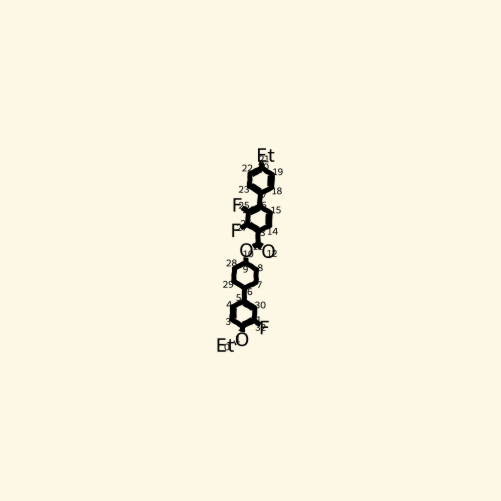 CCOc1ccc(C2CCC(OC(=O)c3ccc(-c4ccc(CC)cc4)c(F)c3F)CC2)cc1F